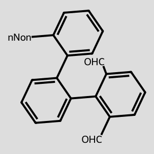 CCCCCCCCCc1ccccc1-c1ccccc1-c1c(C=O)cccc1C=O